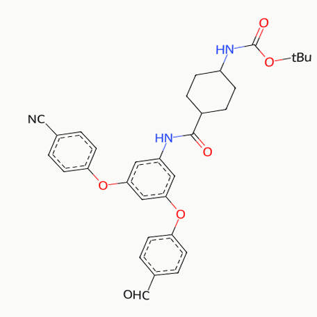 CC(C)(C)OC(=O)NC1CCC(C(=O)Nc2cc(Oc3ccc(C#N)cc3)cc(Oc3ccc(C=O)cc3)c2)CC1